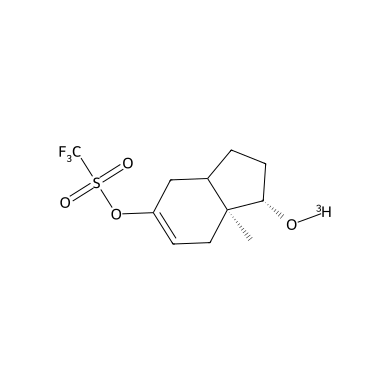 [3H]O[C@H]1CCC2CC(OS(=O)(=O)C(F)(F)F)=CC[C@@]21C